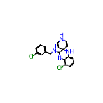 Clc1cccc(CNC2=Nc3c(Cl)cccc3NC23CCNCC3)c1